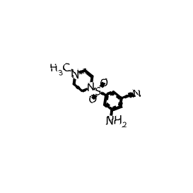 CN1CCN(S(=O)(=O)c2cc(N)cc(C#N)c2)CC1